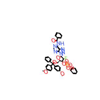 COc1ccc(C(OC[C@H]2O[C@@H](n3nnc4c(NC(=O)c5ccccc5)ncnc43)[C@@H](F)[C@@H]2OP(=O)(O)Oc2ccccc2)(c2ccccc2)c2ccc(OC)cc2)cc1